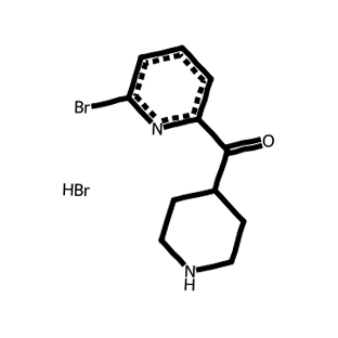 Br.O=C(c1cccc(Br)n1)C1CCNCC1